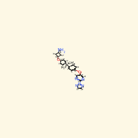 CC(C)(c1ccc(Oc2cnc(-n3nccn3)nc2)cc1)c1ccc(OC2CC(N)C2)cc1